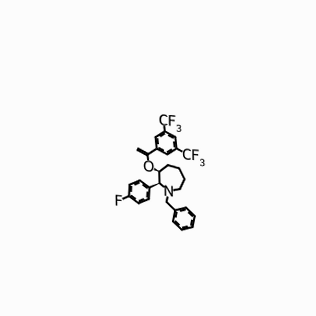 C=C(O[C@H]1CCCCN(Cc2ccccc2)[C@H]1c1ccc(F)cc1)c1cc(C(F)(F)F)cc(C(F)(F)F)c1